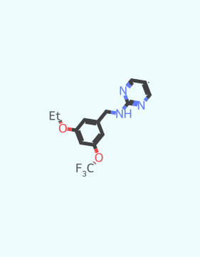 CCOc1cc(CNc2nc[c]cn2)cc(OC(F)(F)F)c1